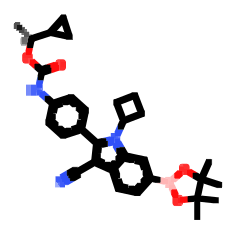 C[C@@H](OC(=O)Nc1ccc(-c2c(C#N)c3ccc(B4OC(C)(C)C(C)(C)O4)cc3n2C2CCC2)cc1)C1CC1